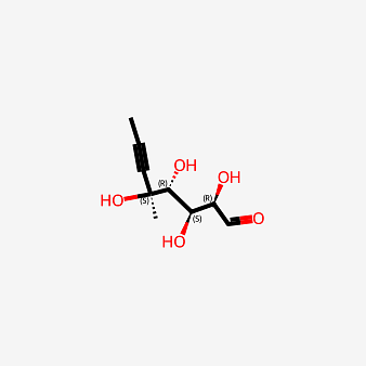 CC#C[C@](C)(O)[C@H](O)[C@H](O)[C@@H](O)C=O